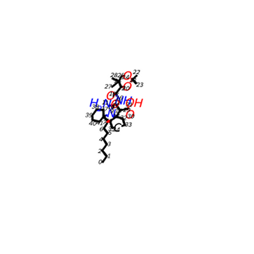 CCCCCCCCC1(N(C(N)=O)C2(C(CNC(=O)C3OC(C)(C)OCC3(C)C)C(=O)O)CCCCC2)CCCCC1